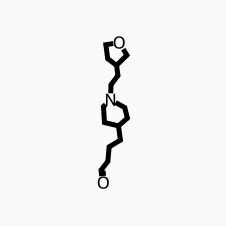 O=CCCCC1CCN(CCC2CCOC2)CC1